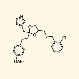 COc1ccc(CCC2(Cn3ccnc3)OCC(CSCc3ccccc3Cl)O2)cc1